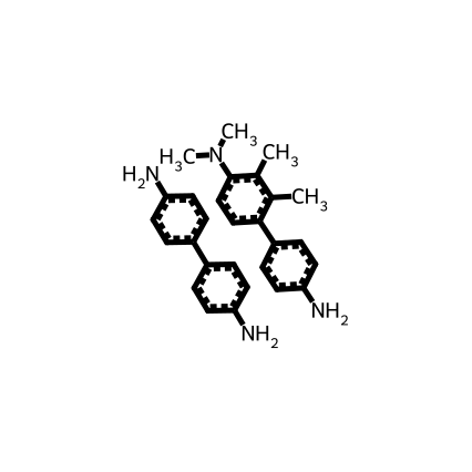 Cc1c(-c2ccc(N)cc2)ccc(N(C)C)c1C.Nc1ccc(-c2ccc(N)cc2)cc1